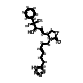 O=C1OCC(/C=C/C(O)C(F)(F)c2ccccc2)N1CC/C=C/CCc1nnn[nH]1